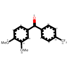 COc1ccc(C(=O)c2ccc(C(F)(F)F)cc2)cc1OC